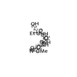 CCC(CCCCO)OC(=O)NCc1cccc(NC(=O)Nc2ccc(-c3cnco3)c(OC)c2)c1